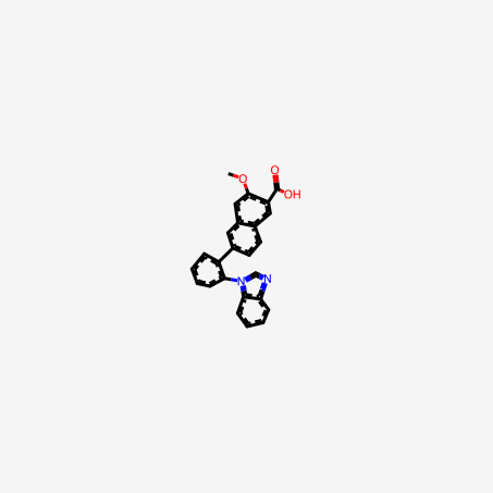 COc1cc2cc(-c3ccccc3-n3cnc4ccccc43)ccc2cc1C(=O)O